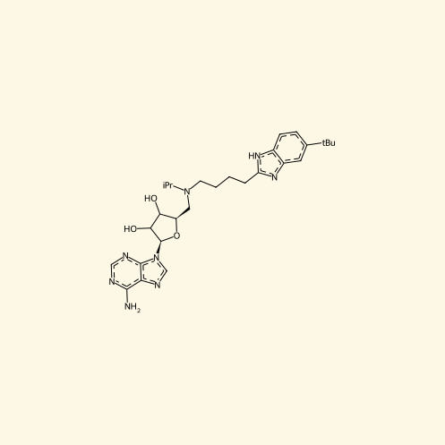 CC(C)N(CCCCc1nc2cc(C(C)(C)C)ccc2[nH]1)C[C@H]1O[C@@H](n2cnc3c(N)ncnc32)C(O)C1O